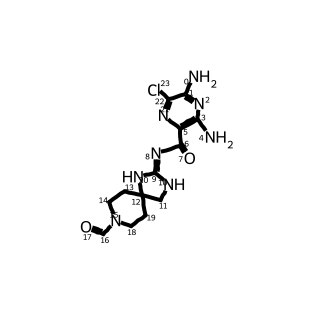 Nc1nc(N)c(C(=O)/N=C2\NCC3(CCN(C=O)CC3)N2)nc1Cl